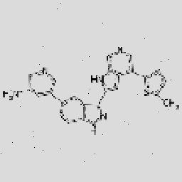 Cc1ccc(-c2cncc3[nH]c(-c4n[nH]c5ccc(-c6cncc(N)c6)cc45)cc23)s1